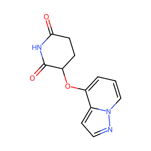 O=C1CCC(Oc2cccn3nccc23)C(=O)N1